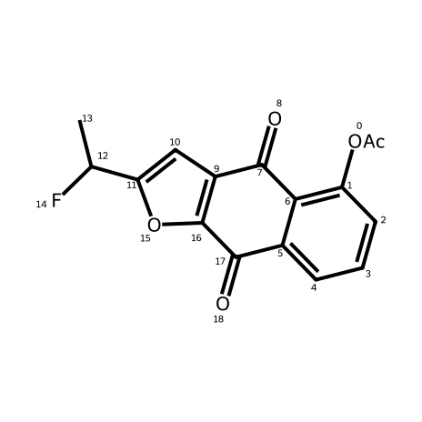 CC(=O)Oc1cccc2c1C(=O)c1cc(C(C)F)oc1C2=O